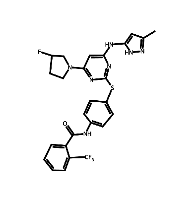 Cc1cc(Nc2cc(N3CCC(F)C3)nc(Sc3ccc(NC(=O)c4ccccc4C(F)(F)F)cc3)n2)[nH]n1